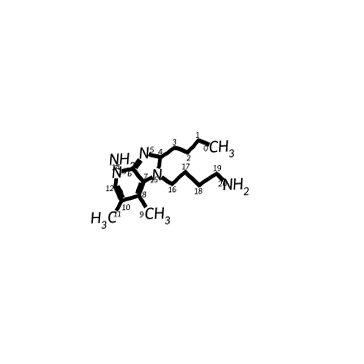 CCCCC1N=C2C(=C(C)C(C)=CN2N)N1CCCCN